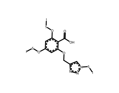 O=C(O)c1c(OCc2cn(SI)nn2)cc(OSI)cc1OSI